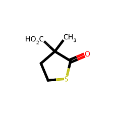 CC1(C(=O)O)CCSC1=O